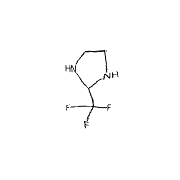 FC(F)(F)C1N[CH]CN1